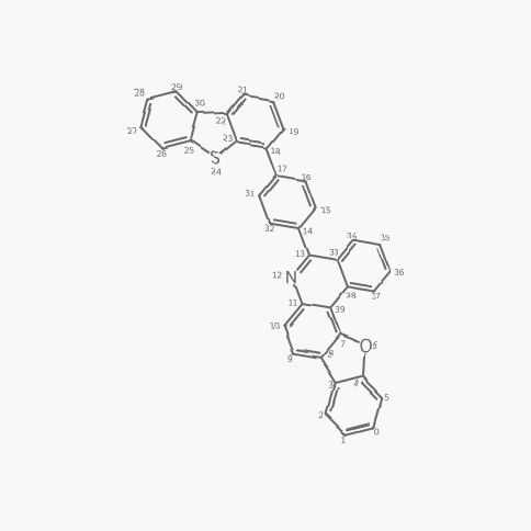 c1ccc2c(c1)oc1c2ccc2nc(-c3ccc(-c4cccc5c4sc4ccccc45)cc3)c3ccccc3c21